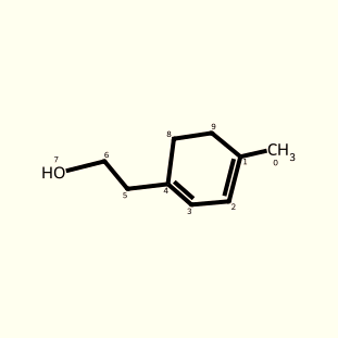 CC1=CC=C(CCO)CC1